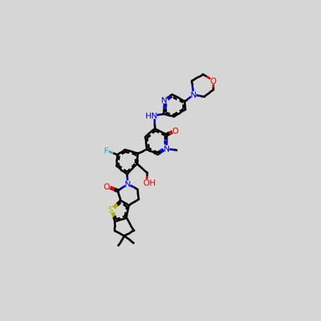 Cn1cc(-c2cc(F)cc(N3CCc4c(sc5c4CC(C)(C)C5)C3=O)c2CO)cc(Nc2ccc(N3CCOCC3)cn2)c1=O